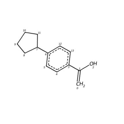 C=C(O)c1ccc(C2CCCC2)cc1